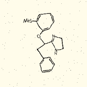 CSc1ccccc1OC(Cc1ccccc1)C1=NCCN1